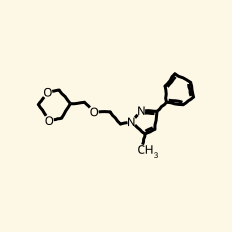 Cc1cc(-c2ccccc2)nn1CCOCC1COCOC1